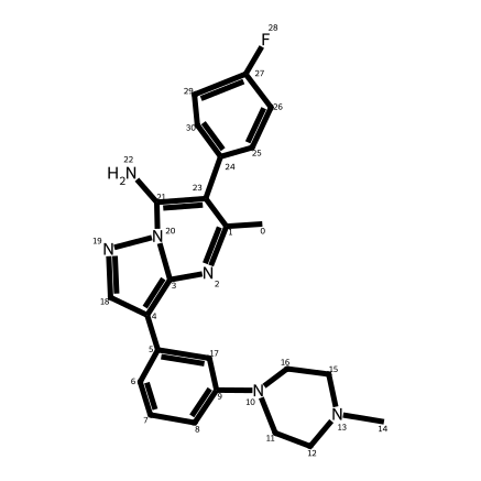 Cc1nc2c(-c3cccc(N4CCN(C)CC4)c3)cnn2c(N)c1-c1ccc(F)cc1